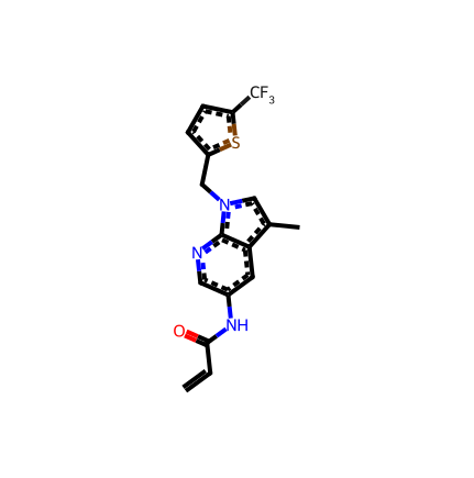 C=CC(=O)Nc1cnc2c(c1)c(C)cn2Cc1ccc(C(F)(F)F)s1